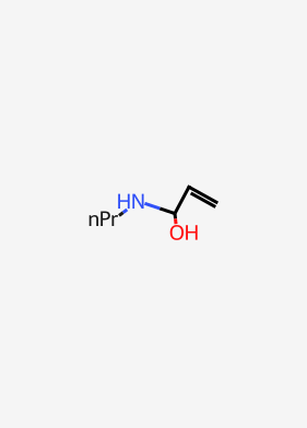 C=CC(O)NCCC